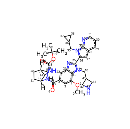 COc1cc(C(=O)N2C[C@H]3CC[C@@H]2[C@@H]3NC(=O)OC(C)(C)C)cc2nc(-c3cc4cccnc4n3CC3CC3)n(CC3CNC3)c12